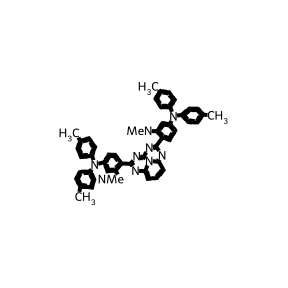 CNc1cc(N(c2ccc(C)cc2)c2ccc(C)cc2)ccc1C1=NC2=CC=CC3=NC(c4ccc(N(c5ccc(C)cc5)c5ccc(C)cc5)cc4NC)=NC(=N1)N23